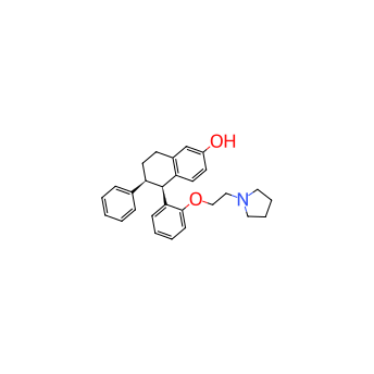 Oc1ccc2c(c1)CC[C@H](c1ccccc1)[C@@H]2c1ccccc1OCCN1CCCC1